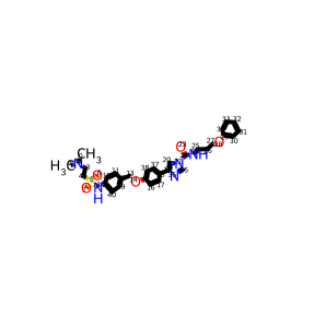 CN(C)CCS(=O)(=O)Nc1ccc(COc2ccc(-c3cn(C(=O)NCCCOc4ccccc4)cn3)cc2)cc1